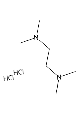 CN(C)CCN(C)C.Cl.Cl